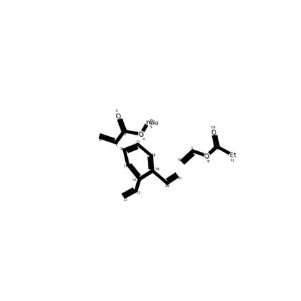 C=CC(=O)OCCCC.C=COC(=O)CC.C=Cc1ccccc1C=C